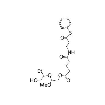 CCC(CO)OC(COC(=O)CCCC(=O)NCCC(=O)Sc1ccccc1)OC